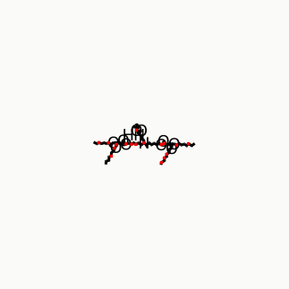 CCCCCCCCOC(CCC(=O)OCCCCCCN(CCCCCCOC(=O)CCC(OCCCCCCCC)OCCCCCCCC)CCCNC(=O)OC(C)(C)C)OCCCCCCCC